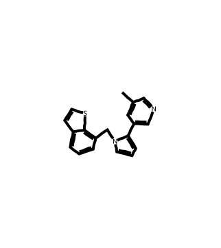 Cc1cncc(-c2cccn2Cc2cccc3ccsc23)c1